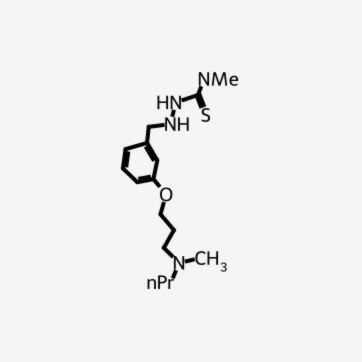 CCCN(C)CCCOc1cccc(CNNC(=S)NC)c1